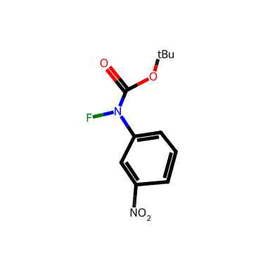 CC(C)(C)OC(=O)N(F)c1cccc([N+](=O)[O-])c1